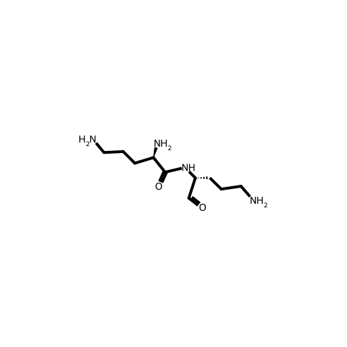 NCCC[C@@H](N)C(=O)N[C@@H](C=O)CCCN